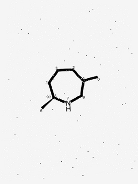 CC1CCC[C@H](C)NC1